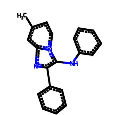 Cc1ccn2c(Nc3ccccc3)c(-c3ccccc3)nc2c1